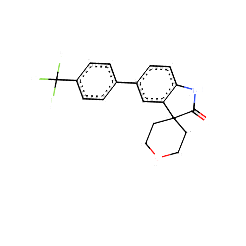 O=C1Nc2ccc(-c3ccc(C(F)(F)F)cc3)cc2C12CCOCC2